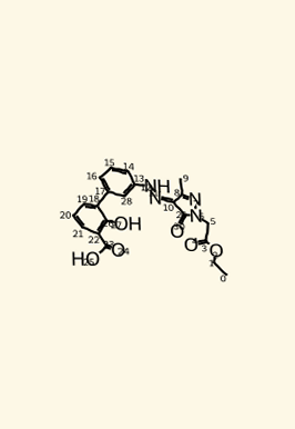 CCOC(=O)CN1N=C(C)C(=NNc2cccc(-c3cccc(C(=O)O)c3O)c2)C1=O